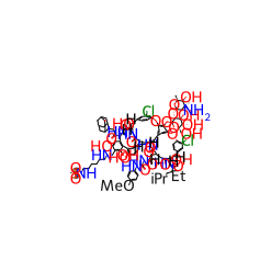 CC[C@H](CC(C)C)C(=O)N[C@H]1C(=O)C[C@@H](CC(=O)NC(=O)Nc2ccc(OC)cc2)C(=O)N[C@H]2C(=O)C[C@H]3C(=O)N[C@H](C(=O)N[C@H](C(=O)CC4C5CC6CC(C5)CC4C6)c4cc(O)c(CNCCCCCCNS(C)(=O)=O)c(O)c4-c4cc3ccc4O)[C@H](O)c3ccc(c(Cl)c3)Oc3cc2cc(c3O[C@@H]2O[C@H](CO)[C@@H](O)[C@H](O)[C@H]2O[C@H]2C[C@](C)(N)[C@H](O)[C@H](C)O2)Oc2ccc(cc2Cl)[C@H]1O